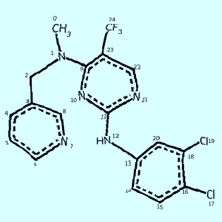 CN(Cc1cccnc1)c1nc(Nc2ccc(Cl)c(Cl)c2)ncc1C(F)(F)F